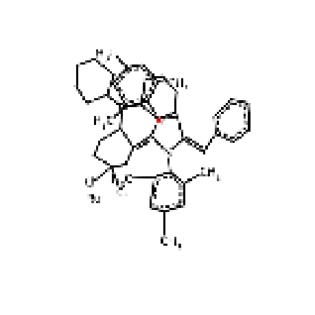 Cc1cc(C)c(N2CC(=Cc3ccccc3)N(c3c(C)cc(C)cc3C)C2=C2CC(Cl)(Cl)CCC2P(C2CCCCC2)C2CCCCC2)c(C)c1.[Ru]